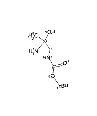 CC(N)(O)CNC(=O)OC(C)(C)C